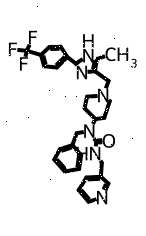 Cc1[nH]c(-c2ccc(C(F)(F)F)cc2)nc1CN1CCC(N(Cc2ccccc2)C(=O)NCc2cccnc2)CC1